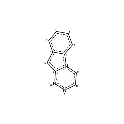 c1ccc2c(c1)cc1nnccn12